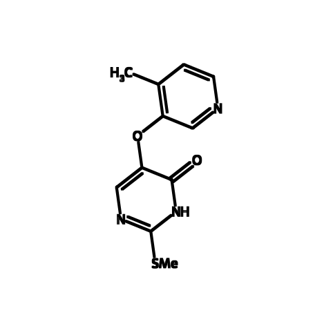 CSc1ncc(Oc2cnccc2C)c(=O)[nH]1